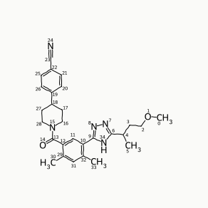 COCCC(C)c1nnc(-c2cc(C(=O)N3CCC(c4ccc(C#N)cc4)CC3)c(C)cc2C)[nH]1